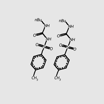 CCCCNC(=O)NS(=O)(=O)c1ccc(C)cc1.CCCCNC(=O)NS(=O)(=O)c1ccc(C)cc1